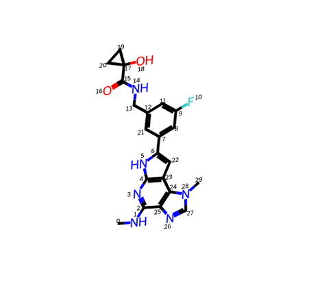 CNc1nc2[nH]c(-c3cc(F)cc(CNC(=O)C4(O)CC4)c3)cc2c2c1ncn2C